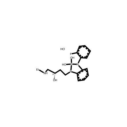 CCNC[C@@H](O)CCN1c2ccccc2N(c2ccccc2F)S1(O)O.Cl